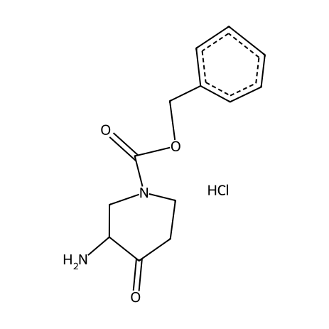 Cl.NC1CN(C(=O)OCc2ccccc2)CCC1=O